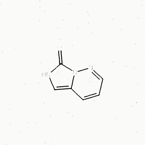 O=c1[nH]cc2cccnn12